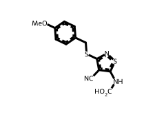 COc1ccc(CSc2nsc(NC(=O)O)c2C#N)cc1